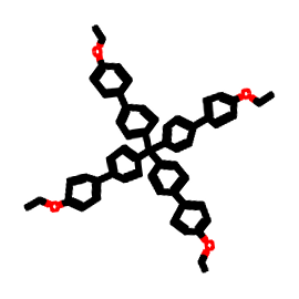 CCOc1ccc(-c2ccc(C(c3ccc(-c4ccc(OCC)cc4)cc3)(c3ccc(-c4ccc(OCC)cc4)cc3)c3ccc(-c4ccc(OCC)cc4)cc3)cc2)cc1